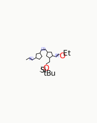 C/C=C/C1CCC(/C=C\C2CC(/C=C/OCC)C(CCO[Si](C)(C)C(C)(C)C)C2)C1